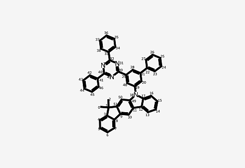 CC1(C)c2ccccc2-c2cc3c4ccccc4n(-c4cc(-c5ccccc5)cc(-c5nc(-c6ccccc6)nc(-c6ccccc6)n5)c4)c3cc21